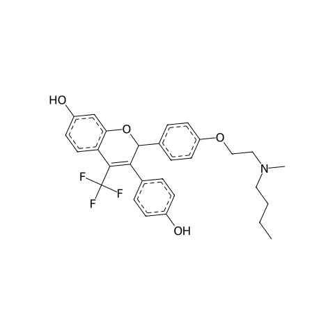 CCCCN(C)CCOc1ccc(C2Oc3cc(O)ccc3C(C(F)(F)F)=C2c2ccc(O)cc2)cc1